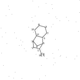 CCC1CC2CC1C1CCCCC21